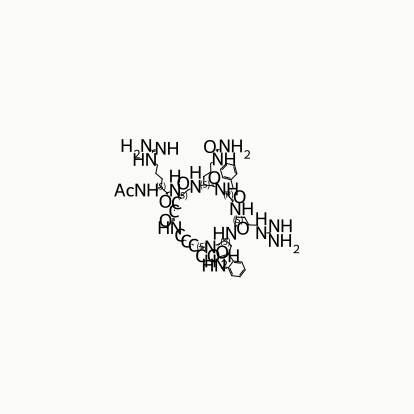 CC(=O)N[C@@H](CCCNC(=N)N)C(=O)N[C@H]1CCC(=O)NCCC[C@@H](C(=O)O)NC(=O)[C@H](Cc2c[nH]c3ccccc23)NC(=O)[C@H](CCCNC(=N)N)NC(=O)[C@@H](Cc2ccccc2)NC(=O)[C@H](CCCNC(N)=O)NC1=O